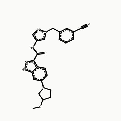 COC1CCN(c2ccc3c(C(=O)Nc4cnn(Cc5cccc(C#N)c5)c4)n[nH]c3c2)C1